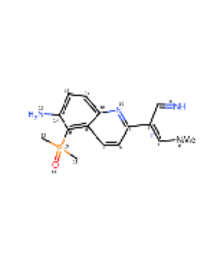 CN/C=C(\C=N)c1ccc2c(P(C)(C)=O)c(N)ccc2n1